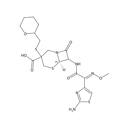 CON=C(C(=O)NC1C(=O)N2CC(SCC3CCCCO3)(C(=O)O)CS[C@H]12)c1csc(N)n1